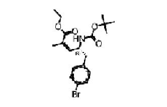 CCOC(=O)C(C)=C[C@@H](Cc1ccc(Br)cc1)NC(=O)OC(C)(C)C